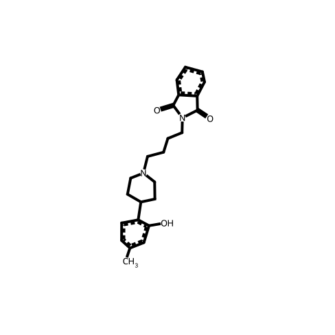 Cc1ccc(C2CCN(CCCCN3C(=O)c4ccccc4C3=O)CC2)c(O)c1